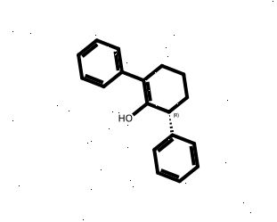 OC1=C(c2ccccc2)CCC[C@@H]1c1ccccc1